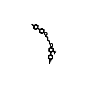 Cc1ccc(-c2ccc(OCCCCCOc3ccc(-c4ccc(F)cc4)c(F)c3)cc2)cc1